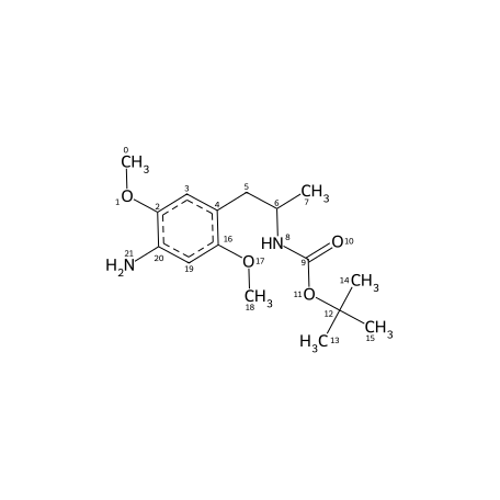 COc1cc(CC(C)NC(=O)OC(C)(C)C)c(OC)cc1N